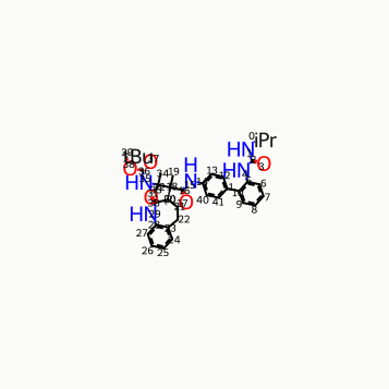 CC(C)NC(=O)Nc1ccccc1-c1ccc(NC(=O)C(C)([C@H]2CCc3ccccc3NC2=O)C(C)(C)NC(=O)OC(C)(C)C)cc1